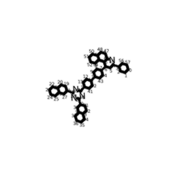 c1ccc(-c2cc(-c3ccc(-c4ccc(-c5nc(-c6ccc7ccccc7c6)nc(-c6ccc7ccccc7c6)n5)cc4)cc3)c3c(ccc4ccccc43)n2)cc1